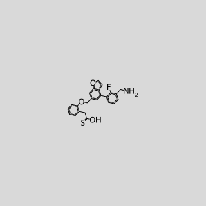 NCc1cccc(-c2cc(COc3ccccc3CC(O)=S)cc3occc23)c1F